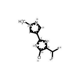 Cn1cc(-c2nc(C(F)F)c(Cl)s2)cn1